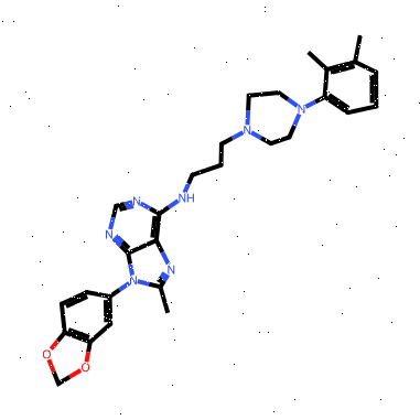 Cc1cccc(N2CCN(CCCNc3ncnc4c3nc(C)n4-c3ccc4c(c3)OCO4)CC2)c1C